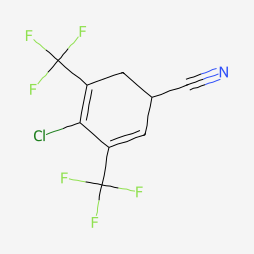 N#CC1C=C(C(F)(F)F)C(Cl)=C(C(F)(F)F)C1